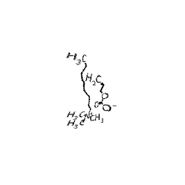 C=CCOC(=O)[O-].CCCCCCCC[N+](C)(C)C